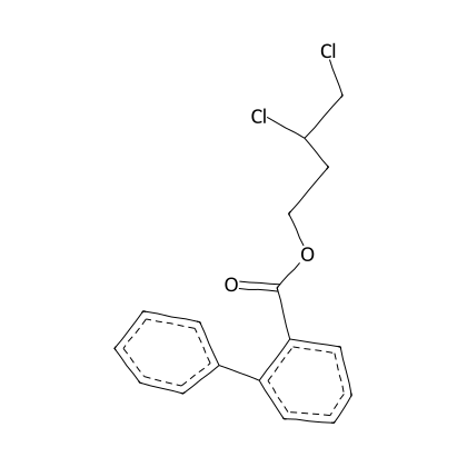 O=C(OCCC(Cl)CCl)c1ccccc1-c1ccccc1